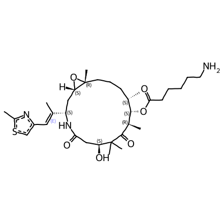 C/C(=C\c1csc(C)n1)[C@@H]1C[C@@H]2O[C@]2(C)CCC[C@H](C)[C@H](OC(=O)CCCCCN)[C@@H](C)C(=O)C(C)(C)[C@@H](O)CC(=O)N1